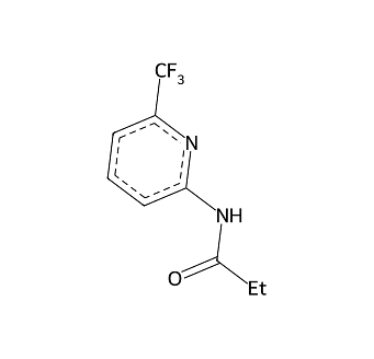 CCC(=O)Nc1cccc(C(F)(F)F)n1